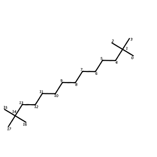 CC(C)(C)CCCCCCCCCCC(C)(C)C